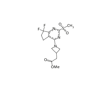 COC(=O)CC1CN(c2nc(S(C)(=O)=O)nc3c2CCC3(F)F)C1